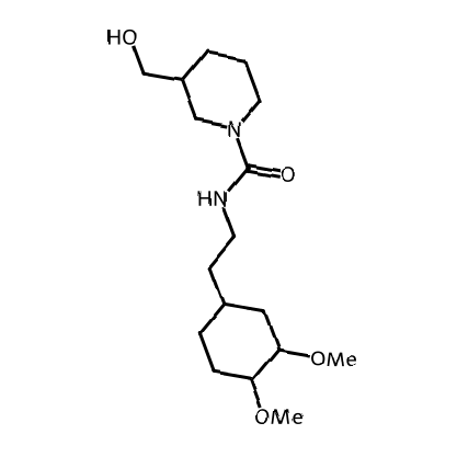 COC1CCC(CCNC(=O)N2CCCC(CO)C2)CC1OC